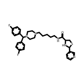 O=C(NCCCCCN1CCN(C(c2ccc(F)cc2)c2ccc(F)cc2)CC1)C1CSC(c2cccnc2)N1